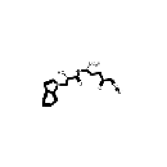 [N-]=[N+]=CC(=O)CC[C@H](NC(=O)[C@@H](O)Cn1ccc2ccccc21)C(=O)O